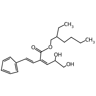 CCCCC(CC)COC(=O)C(C=Cc1ccccc1)=CC(O)CO